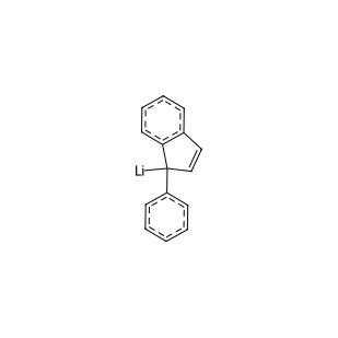 [Li][C]1(c2ccccc2)C=Cc2ccccc21